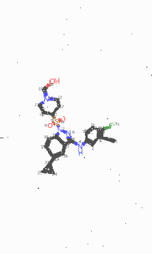 Cc1cc(Nc2nn(S(=O)(=O)C3CCN(CO)CC3)c3ccc(C4CC4)cc23)ccc1F